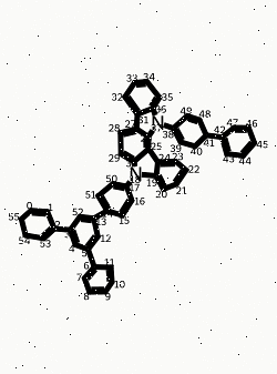 C1=CC(c2cc(-c3ccccc3)cc(-c3ccc(-n4c5ccccc5c5c6c(ccc54)c4ccccc4n6C4=CCC(c5ccccc5)C=C4)cc3)c2)=CCC1